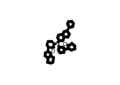 CC12Oc3c(ccc4ccccc34)C1=CC=CC2N(c1ccc2cc(-c3ccccc3)ccc2c1)c1cccc2c1oc1ccccc12